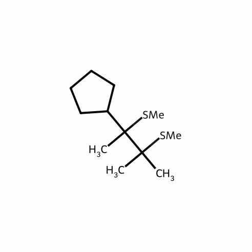 CSC(C)(C)C(C)(SC)C1CCCC1